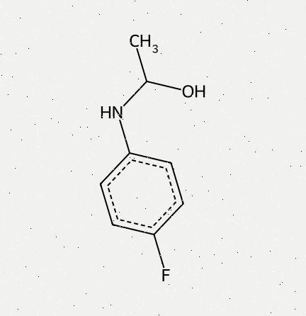 CC(O)Nc1ccc(F)cc1